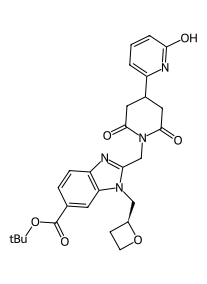 CC(C)(C)OC(=O)c1ccc2nc(CN3C(=O)CC(c4cccc(O)n4)CC3=O)n(C[C@@H]3CCO3)c2c1